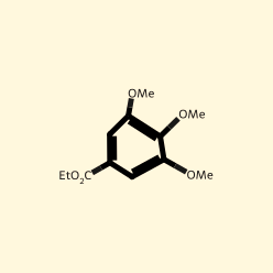 [CH2]COC(=O)c1cc(OC)c(OC)c(OC)c1